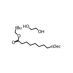 CCCCCCCCCCCCCCCCCC(=O)OCC(C)(C)C.OCCO